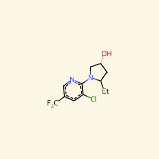 CCC1C[C@@H](O)CN1c1ncc(C(F)(F)F)cc1Cl